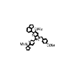 CNC1(c2ccc(-c3nn(Cc4ccc(OC)cc4)c4cc(OC)c(-c5cccc6c5CCC6)nc34)cn2)CCCC1